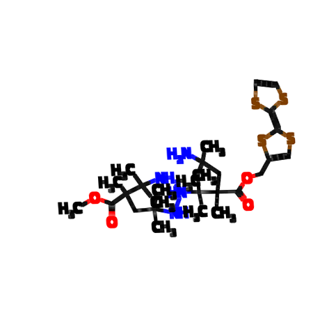 COC(=O)C(C)(CC(C)(C)NNC(C)(C)C(C)(CC(C)(C)N)C(=O)OCC1=CSC(=C2SC=CS2)S1)C(C)(C)N